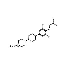 CCCCC[Si@H]1CC[C@H]([C@H]2CC[C@H](c3cc(F)c(OCC(F)F)c(F)c3)CC2)CC1